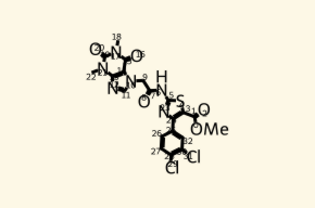 COC(=O)c1sc(NC(=O)Cn2cnc3c2c(=O)n(C)c(=O)n3C)nc1-c1ccc(Cl)c(Cl)c1